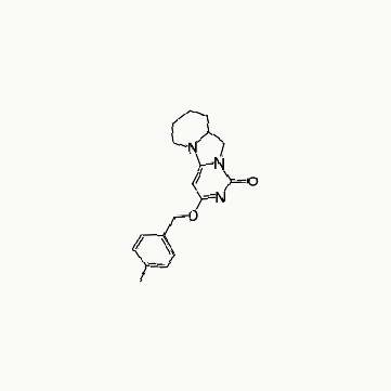 Cc1ccc(COc2cc3n(c(=O)n2)CC2CCCCN32)cc1